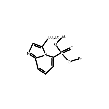 CCOC(=O)c1cnc2cccc(P(=O)(OCC)OCC)n12